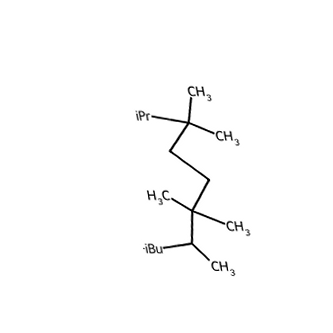 CC[C](C)C(C)C(C)(C)CCC(C)(C)C(C)C